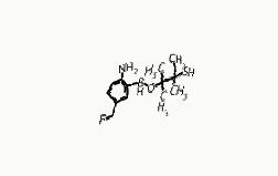 CC(C)(S)C(C)(C)OBc1cc(CF)ccc1N